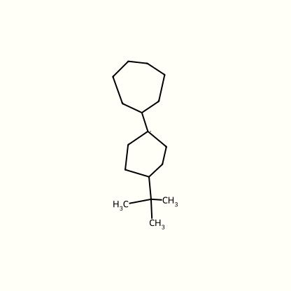 CC(C)(C)C1CC[C](C2CCCCCC2)CC1